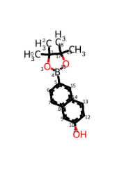 CC1(C)OB(c2ccc3cc(O)ccc3c2)OC1(C)C